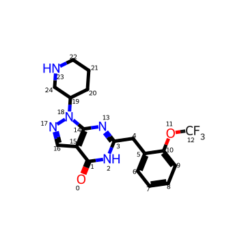 O=c1[nH]c(Cc2ccccc2OC(F)(F)F)nc2c1cnn2C1CCCNC1